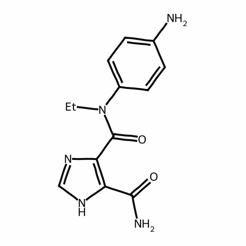 CCN(C(=O)c1nc[nH]c1C(N)=O)c1ccc(N)cc1